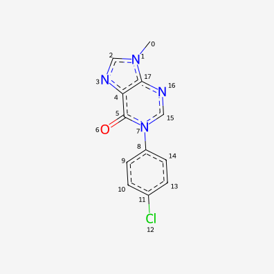 Cn1cnc2c(=O)n(-c3ccc(Cl)cc3)cnc21